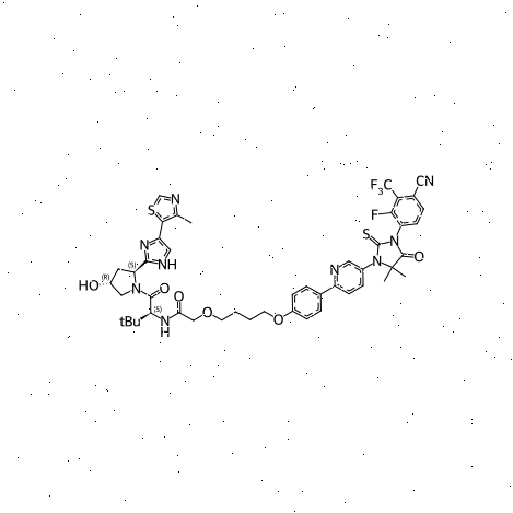 Cc1ncsc1-c1c[nH]c([C@@H]2C[C@@H](O)CN2C(=O)[C@@H](NC(=O)COCCCCOc2ccc(-c3ccc(N4C(=S)N(c5ccc(C#N)c(C(F)(F)F)c5F)C(=O)C4(C)C)cn3)cc2)C(C)(C)C)n1